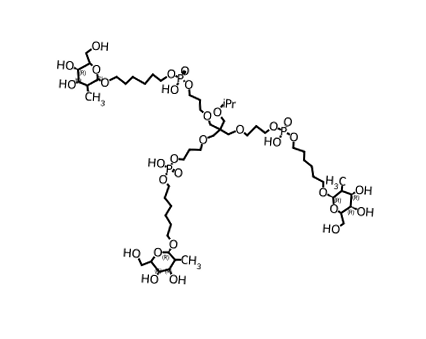 CC(C)OCC(COCCCOP(=O)(O)OCCCCCCO[C@@H]1OC(CO)[C@H](O)[C@H](O)C1C)(COCCCOP(=O)(O)OCCCCCCO[C@@H]1OC(CO)[C@H](O)[C@H](O)C1C)COCCCOP(=O)(O)OCCCCCCO[C@@H]1OC(CO)[C@H](O)[C@H](O)C1C